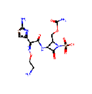 NCCO/N=C(\C(=O)NC1C(=O)N(S(=O)(=O)O)C1COC(N)=O)c1csc(N)n1